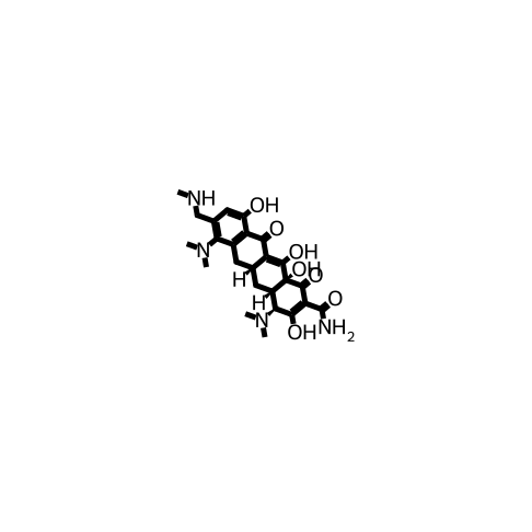 CNCc1cc(O)c2c(c1N(C)C)C[C@H]1C[C@H]3[C@H](N(C)C)C(O)=C(C(N)=O)C(=O)[C@@]3(O)C(O)=C1C2=O